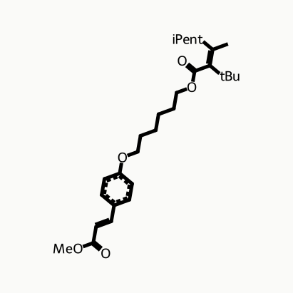 CCCC(C)/C(C)=C(\C(=O)OCCCCCCOc1ccc(/C=C/C(=O)OC)cc1)C(C)(C)C